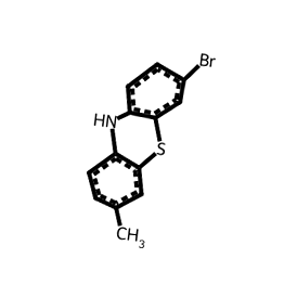 Cc1ccc2c(c1)Sc1cc(Br)ccc1N2